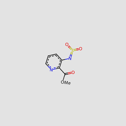 COC(=O)c1ncccc1N=S(=O)=O